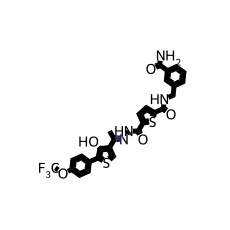 C/C(=N\NC(=O)c1ccc(C(=O)NCc2cccc(C(N)=O)c2)s1)c1csc(-c2ccc(OC(F)(F)F)cc2)c1O